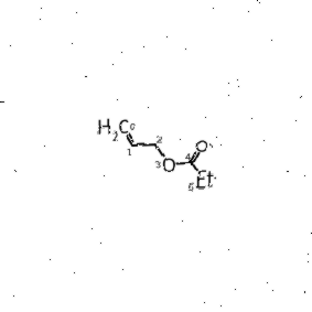 C=CCOC(=O)[CH]C